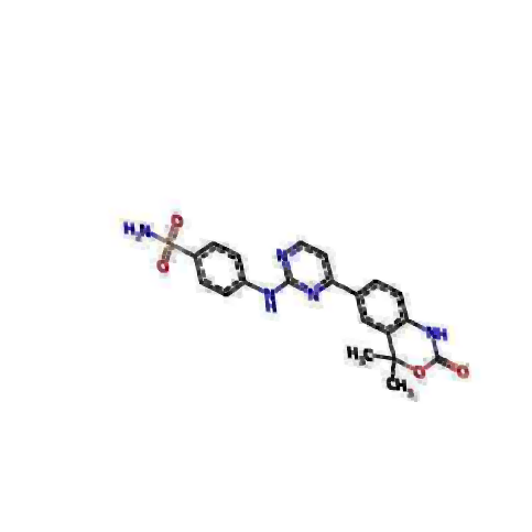 CC1(C)OC(=O)Nc2ccc(-c3ccnc(Nc4ccc(S(N)(=O)=O)cc4)n3)cc21